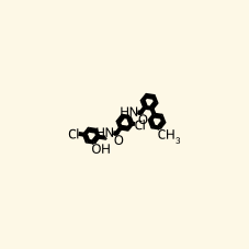 Cc1ccc(-c2ccccc2C(=O)Nc2ccc(C(=O)NCc3ccc(Cl)cc3O)cc2Cl)cc1